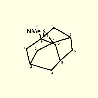 CCC1CC2CC3CC1CC(NC)(C2)C3